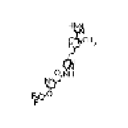 CN(CC(F)CCc1ccc(NC(=O)Cc2cncc(OC3CC(F)(F)C3)c2)nn1)C(=O)c1c[nH]nn1